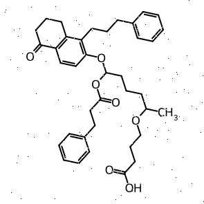 CC(CCCC(OC(=O)CCc1ccccc1)Oc1ccc2c(c1CCCc1ccccc1)CCCC2=O)OCCCC(=O)O